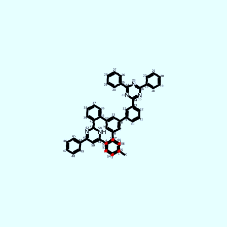 Cc1cccc(-c2cc(-c3cccc(-c4nc(-c5ccccc5)nc(-c5ccccc5)n4)c3)cc(-c3ccccc3C3N=C(c4ccccc4)C=C(c4ccccc4)N3)c2)n1